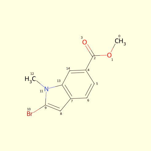 COC(=O)c1ccc2cc(Br)n(C)c2c1